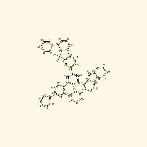 CC1(C)c2cc(-c3nc(-c4ccc(-c5ccccc5)cc4-c4ccccc4)cc(-c4cccc5c4sc4ccccc45)n3)ccc2-c2cccc(-c3ccccc3)c21